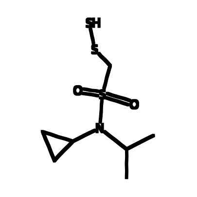 CC(C)N(C1CC1)S(=O)(=O)CSS